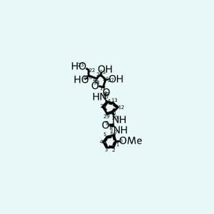 COc1ccccc1NC(=O)Nc1ccc(NO[C@H]2O[C@@H]([C@@H](O)CO)[C@@H](O)[C@H]2O)cc1